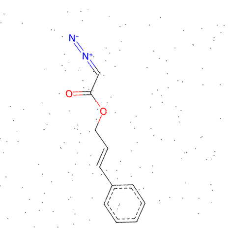 [N-]=[N+]=CC(=O)OC/C=C/c1ccccc1